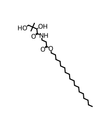 CCCCCCCCCCCCCCCCCCOC(=O)CCNC(=O)[C@H](O)C(C)(C)CO